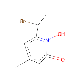 Cc1cc(C(C)Br)n(O)c(=O)c1